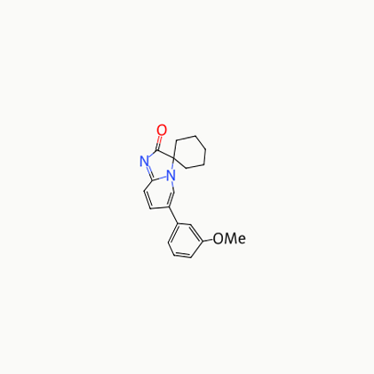 COc1cccc(C2=CN3C(=NC(=O)C34CCCCC4)C=C2)c1